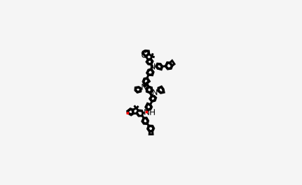 CC1(C)C2=CC(Nc3ccc(-c4ccc5c(c4)c4cc6c(cc4n5-c4ccccc4)c4cc(-c5ccc(N(c7ccc(-c8ccc9c(c8)CC9)cc7)c7ccc8c(c7)C(C)(C)c7ccccc7-8)cc5)ccc4n6-c4ccccc4)cc3)C(c3ccc(-c4ccc5c(c4)CC5)cc3)C=C2c2ccccc21